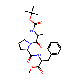 COC(=O)C(Cc1ccccc1)NC(=O)C1CCCN1C(=O)C(C)NC(=O)OC(C)(C)C